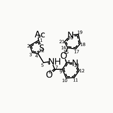 CC(=O)c1ccc(CNC(=O)c2cccnc2Oc2cccnc2)s1